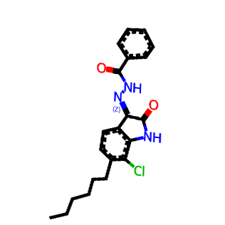 CCCCCCc1ccc2c(c1Cl)NC(=O)/C2=N\NC(=O)c1ccccc1